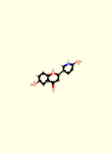 O=c1cc(-c2ccc(O)nc2)oc2ccc(O)cc12